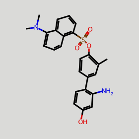 Cc1cc(-c2ccc(O)cc2N)ccc1OS(=O)(=O)c1cccc2c(N(C)C)cccc12